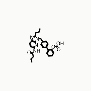 CCCC(=O)Nc1ccc2nc(CCC)n(Cc3ccc(-c4ccccc4OC(=O)O)cc3)c2n1